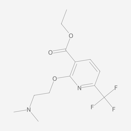 CCOC(=O)c1ccc(C(F)(F)F)nc1OCCN(C)C